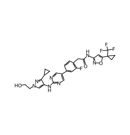 O=C(Cc1ccc(-c2cnc(Nc3cn(CCO)nc3C3CC3)nc2)cc1F)Nc1cc(C2(C(F)(F)F)CC2)on1